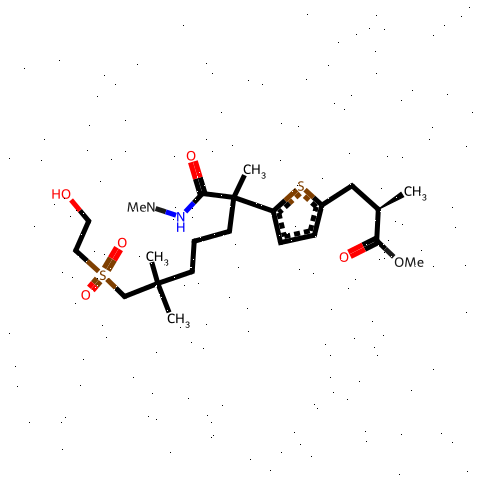 CNNC(=O)C(C)(CCCC(C)(C)CS(=O)(=O)CCO)c1ccc(C[C@@H](C)C(=O)OC)s1